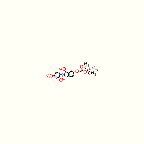 CC(C)(C)OC(=O)COc1ccc2c(c1)C(O)N(c1ccc(O)nc1O)C2